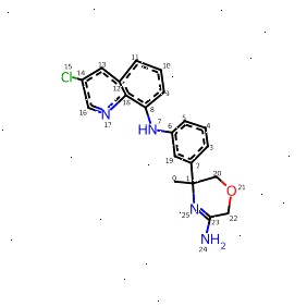 CC1(c2cccc(Nc3cccc4cc(Cl)cnc34)c2)COCC(N)=N1